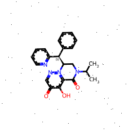 CC(C)N1CC([C@H](c2ccccc2)c2ccccn2)n2ncc(=O)c(O)c2C1=O